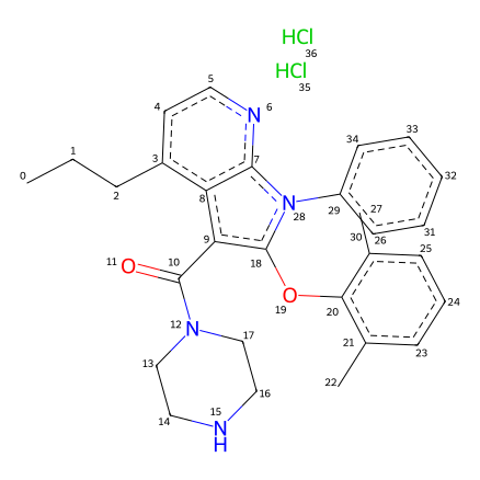 CCCc1ccnc2c1c(C(=O)N1CCNCC1)c(Oc1c(C)cccc1C)n2-c1ccccc1.Cl.Cl